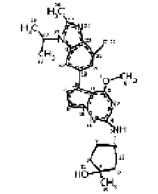 COc1nc(N[C@H]2CC[C@@](C)(O)CC2)nn2ccc(-c3cc(F)c4nc(C)n(C(C)C)c4c3)c12